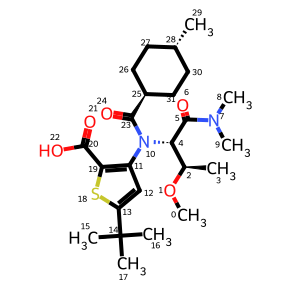 CO[C@H](C)[C@@H](C(=O)N(C)C)N(c1cc(C(C)(C)C)sc1C(=O)O)C(=O)[C@H]1CC[C@H](C)CC1